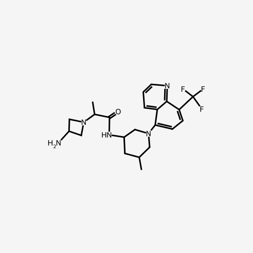 CC1CC(NC(=O)C(C)N2CC(N)C2)CN(c2ccc(C(F)(F)F)c3ncccc23)C1